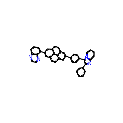 c1ccc(-c2nc3ccccn3c2-c2ccc(-c3cc4ccc5cc(-c6cccc7nccnc67)cc6ccc(c3)c4c56)cc2)cc1